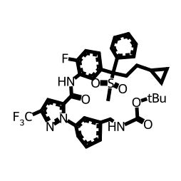 CC(C)(C)OC(=O)NCc1cccc(-n2nc(C(F)(F)F)cc2C(=O)Nc2cc(C(CCC3CC3)(c3ccccc3)S(C)(=O)=O)ccc2F)c1